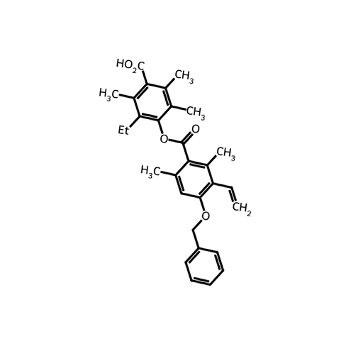 C=Cc1c(OCc2ccccc2)cc(C)c(C(=O)Oc2c(C)c(C)c(C(=O)O)c(C)c2CC)c1C